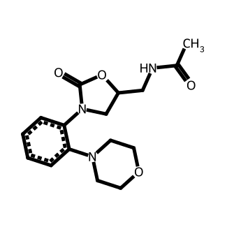 CC(=O)NCC1CN(c2ccccc2N2CCOCC2)C(=O)O1